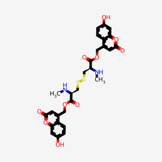 CN[C@@H](CSSC[C@H](NC)C(=O)OCc1cc(=O)oc2cc(O)ccc12)C(=O)OCc1cc(=O)oc2cc(O)ccc12